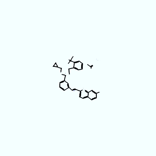 CC(=O)[O-].CC(C)(O)c1ccccc1CC[C@@H](SCC1CC1)c1cccc(/C=C/c2ccc3ccc(Cl)cc3n2)c1.[Na+]